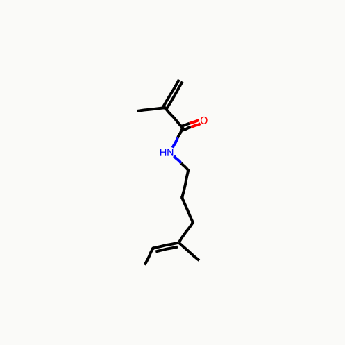 C=C(C)C(=O)NCCCC(C)=CC